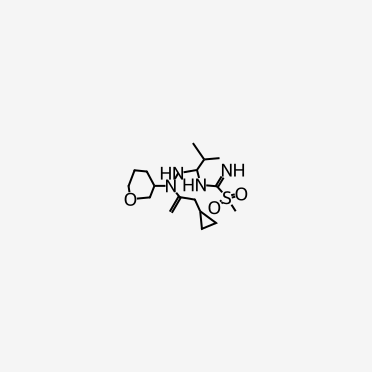 C=C(CC1CC1)N(NC(NC(=N)S(C)(=O)=O)C(C)C)C1CCCOC1